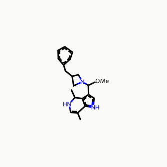 COC(c1c[nH]c2c1C(C)NC=C2C)N1CC(Cc2ccccc2)C1